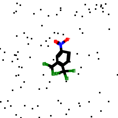 O=[N+]([O-])c1ccc(C(Cl)(Cl)Cl)c(C(Cl)Cl)c1